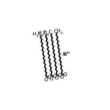 CCCCCCCCCCCCCCCCCCCCCC(=O)[O-].CCCCCCCCCCCCCCCCCCCCCC(=O)[O-].CCCCCCCCCCCCCCCCCCCCCC(=O)[O-].CCCCCCCCCCCCCCCCCCCCCC(=O)[O-].[Al+3].[K+]